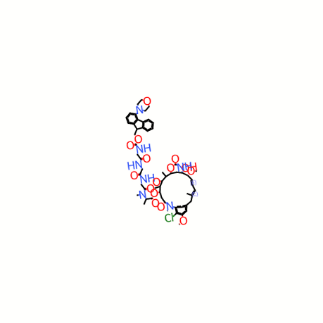 COc1cc2cc(c1Cl)N(C)C(=O)CC(OC(=O)C(C)N(C)C(=O)CNC(=O)CNC(=O)CNC(=O)OCC1c3ccccc3-c3c1cccc3N1CCOCC1)C1(C)OC1C(C)C1CC(O)(NC(=O)O1)C(OC)/C=C/C=C(\C)C2